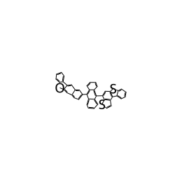 c1ccc2c(c1)oc1cc3ccc(-c4c5ccccc5c(-c5cc6sc7ccccc7c6c6ccsc56)c5ccccc45)cc3cc12